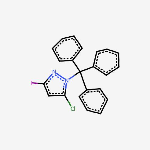 Clc1cc(I)nn1C(c1ccccc1)(c1ccccc1)c1ccccc1